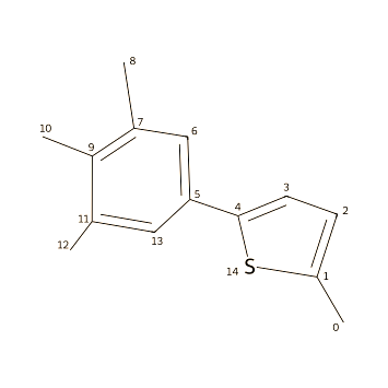 Cc1ccc(-c2cc(C)c(C)c(C)c2)s1